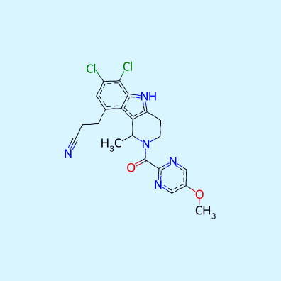 COc1cnc(C(=O)N2CCc3[nH]c4c(Cl)c(Cl)cc(CCC#N)c4c3C2C)nc1